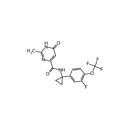 Cc1nc(C(=O)NC2(c3ccc(OC(F)(F)F)c(F)c3)CC2)cc(=O)[nH]1